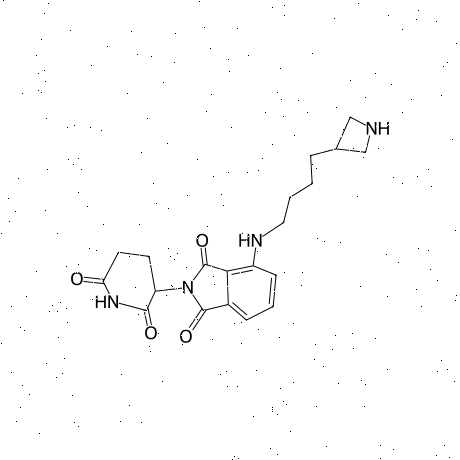 O=C1CCC(N2C(=O)c3cccc(NCCCCC4CNC4)c3C2=O)C(=O)N1